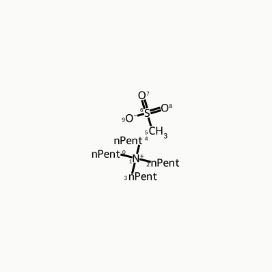 CCCCC[N+](CCCCC)(CCCCC)CCCCC.CS(=O)(=O)[O-]